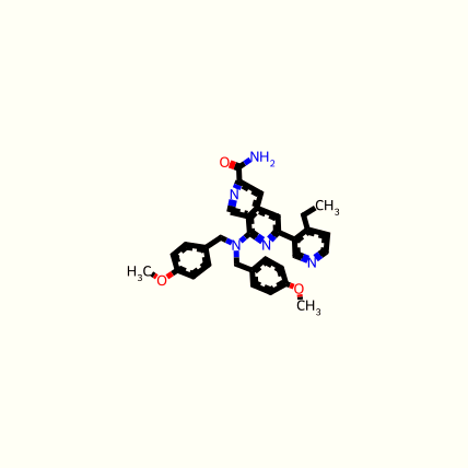 CCc1ccncc1-c1cc2cc(C(N)=O)ncc2c(N(Cc2ccc(OC)cc2)Cc2ccc(OC)cc2)n1